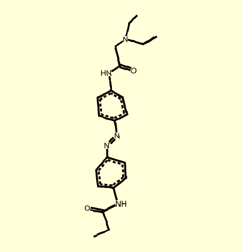 CCC(=O)Nc1ccc(/N=N/c2ccc(NC(=O)CN(CC)CC)cc2)cc1